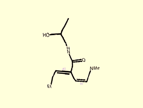 CC/C=C(\C=C/NC)C(=O)NCC(C)O